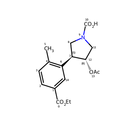 CCOC(=O)c1ccc(C)c([C@H]2CN(C(=O)O)C[C@@H]2OC(C)=O)c1